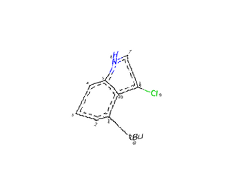 CC(C)(C)c1cccc2[nH]cc(Cl)c12